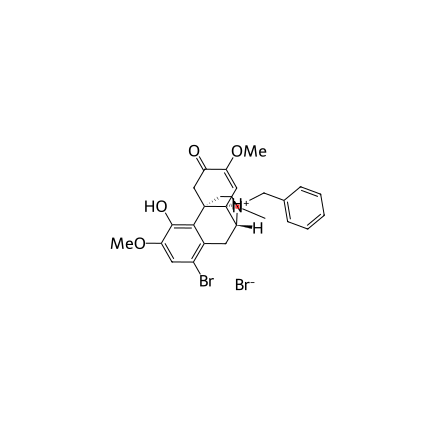 COC1=C[C@H]2[C@H]3Cc4c(Br)cc(OC)c(O)c4[C@@]2(CC[N+]3(C)Cc2ccccc2)CC1=O.[Br-]